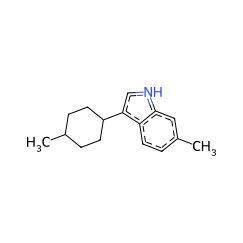 Cc1ccc2c(C3CCC(C)CC3)c[nH]c2c1